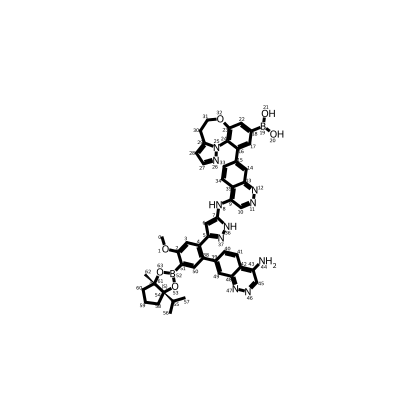 COc1cc(-c2cc(Nc3cnnc4cc(-c5cc(B(O)O)cc6c5-n5nccc5CCO6)ccc34)[nH]n2)c(-c2ccc3c(N)cnnc3c2)cc1B1O[C@]2(C(C)C)CCC[C@]2(C)O1